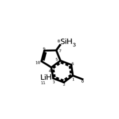 Cc1ccc2c(c1)C([SiH3])C=C2.[LiH]